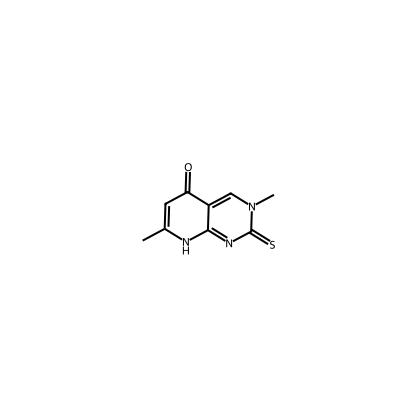 Cc1cc(=O)c2cn(C)c(=S)nc2[nH]1